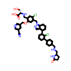 N#Cc1cncc(COc2cc(Cn3ncc4c(-c5cccc(-c6ccc(CNCC7CCC(=O)N7)cc6)c5Cl)cccc43)c(Cl)cc2CN[C@@H](CO)C(=O)O)c1